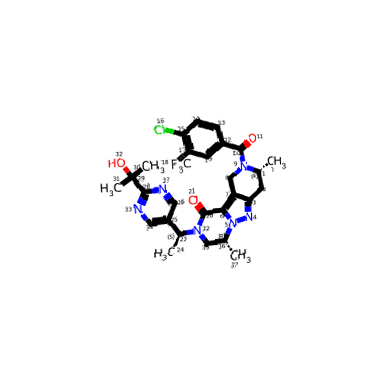 C[C@@H]1Cc2nn3c(c2CN1C(=O)c1ccc(Cl)c(C(F)(F)F)c1)C(=O)N([C@@H](C)c1cnc(C(C)(C)O)nc1)C[C@H]3C